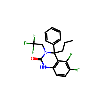 CCCC1(c2ccccc2)c2c(ccc(F)c2F)NC(=O)N1CC(F)(F)F